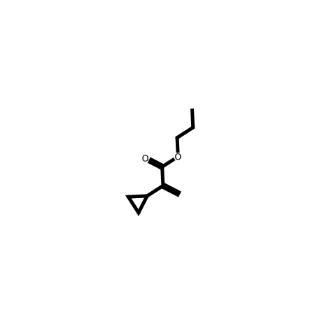 C=C(C(=O)OCCC)C1CC1